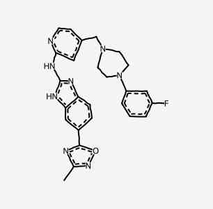 Cc1noc(-c2ccc3nc(Nc4cc(CN5CCN(c6cccc(F)c6)CC5)ccn4)[nH]c3c2)n1